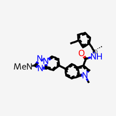 CNc1nc2cc(-c3ccc4c(c3)c(C(=O)N[C@@H](C)c3cccc(C)c3)cn4C)ccn2n1